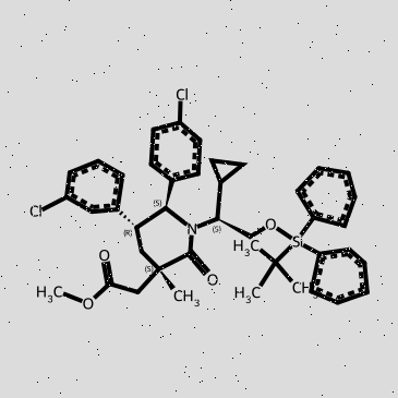 COC(=O)C[C@]1(C)C[C@H](c2cccc(Cl)c2)[C@@H](c2ccc(Cl)cc2)N([C@H](CO[Si](c2ccccc2)(c2ccccc2)C(C)(C)C)C2CC2)C1=O